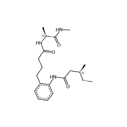 CC[C@H](C)CC(=O)Nc1ccccc1CCCC(=O)N[C@@H](C)C(=O)NC